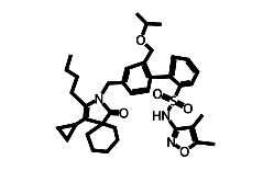 CCCCC1=C(C2CC2)C2(CCCCC2)C(=O)N1Cc1ccc(-c2ccccc2S(=O)(=O)Nc2noc(C)c2C)c(COC(C)C)c1